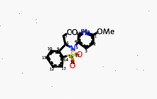 COc1ccc(N2C(CC(=O)O)c3ccccc3S2(=O)=O)cn1